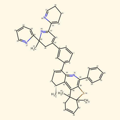 C[C@@H]1CC=C(c2cccc(C3=CC(C4=CCCC=N4)=NC(C)(c4ccccn4)C3)c2)c2nc(-c3ccccc3)c3c(c21)C1(C)CC=CCC1(C)S3